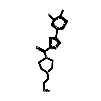 COCCN1CCN(C(=O)c2cc(-c3ccc(C)c(F)c3)cs2)CC1